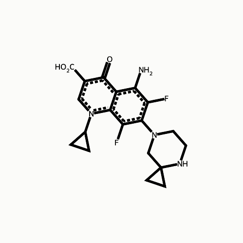 Nc1c(F)c(N2CCNC3(CC3)C2)c(F)c2c1c(=O)c(C(=O)O)cn2C1CC1